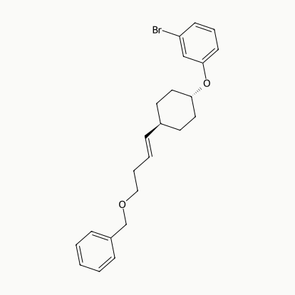 Brc1cccc(O[C@H]2CC[C@H](/C=C/CCOCc3ccccc3)CC2)c1